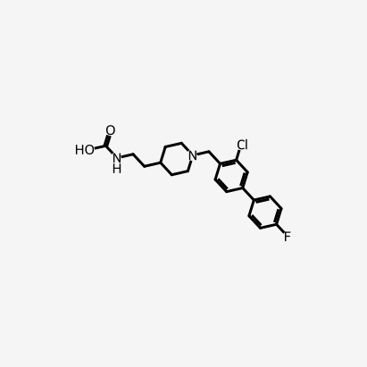 O=C(O)NCCC1CCN(Cc2ccc(-c3ccc(F)cc3)cc2Cl)CC1